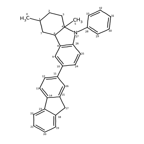 CC1CCC2(C)C(C1)c1cc(-c3ccc4c(c3)Cc3ccccc3-4)ccc1N2c1ccccc1